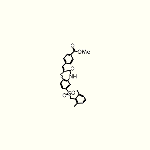 COC(=O)c1ccc(/C=C2/Sc3ccc(S(=O)(=O)Cc4c(C)cccc4C)cc3NC2=O)cc1